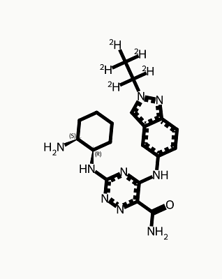 [2H]C([2H])([2H])C([2H])([2H])n1cc2cc(Nc3nc(N[C@@H]4CCCC[C@@H]4N)nnc3C(N)=O)ccc2n1